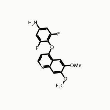 COc1cc2c(Oc3c(F)cc(N)cc3F)ccnc2cc1OC(F)(F)F